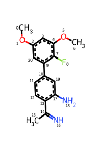 COc1cc(OC)c(F)c(-c2ccc(C(C)=N)c(N)c2)c1